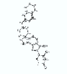 O=C1CCC(N2Cc3c(ccc4c3OCC43CCN(Cc4cnc5c(c4)CCCC5)CC3)C2=O)C(=O)N1